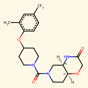 Cc1cc(C(F)(F)F)ccc1OC1CCN(C(=O)N2CC[C@@H]3OCC(=O)N[C@@H]3C2)CC1